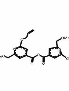 C=CCOc1cc(C(=O)OC(=O)c2cc(Cl)nc(COC)c2)cc(COC)n1